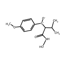 COc1ccc([S+]([O-])C(C(=O)NO)C(C)C)cc1